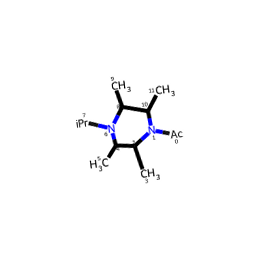 CC(=O)N1C(C)C(C)N(C(C)C)C(C)C1C